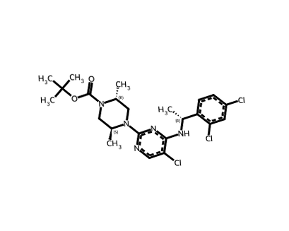 C[C@@H]1CN(c2ncc(Cl)c(N[C@H](C)c3ccc(Cl)cc3Cl)n2)[C@@H](C)CN1C(=O)OC(C)(C)C